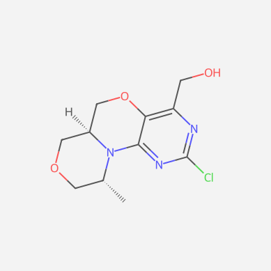 C[C@@H]1COC[C@H]2COc3c(CO)nc(Cl)nc3N21